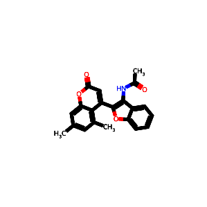 CC(=O)Nc1c(-c2cc(=O)oc3cc(C)cc(C)c23)oc2ccccc12